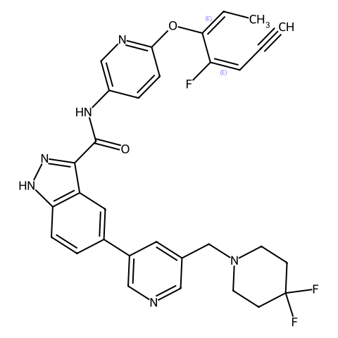 C#C/C=C(F)\C(=C/C)Oc1ccc(NC(=O)c2n[nH]c3ccc(-c4cncc(CN5CCC(F)(F)CC5)c4)cc23)cn1